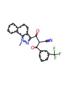 Cn1nc(C(=O)C(C#N)C(=O)c2cccc(C(F)(F)F)c2)c2ccc3ccccc3c21